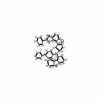 c1ccc(-c2ccc(N(c3ccc4oc5ccc6nc(-c7ccccc7)sc6c5c4c3)c3cccc4sc5ccccc5c34)cc2)cc1